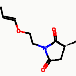 CC=COCCN1C(=O)C[C@@H](C)C1=O